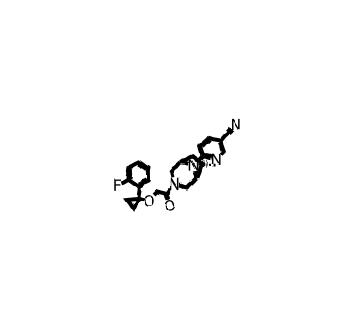 C[C@H]1CC2CN(C(=O)COC3(c4ccccc4F)CC3)CC1N2c1ccc(C#N)cn1